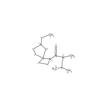 CCN1CCC2(CCN2C(=O)N(C)C(C)C)C1